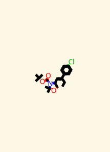 CCC(=CC1COC(C)(C)N1C(=O)OC(C)(C)C)c1ccc(Cl)cc1